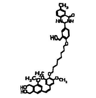 COc1cc(/C=C\c2cc(OC)c(OCCCCCCCCOc3ccc(C4NC(=O)c5cc(C)ccc5N4)cc3CO)c(OC)c2)cc(CO)c1CO